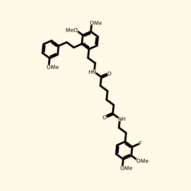 COc1cccc(CCc2c(CCNC(=O)CCCCC(=O)NCCc3ccc(OC)c(OC)c3F)ccc(OC)c2OC)c1